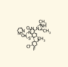 Cc1cc2c(N3C[C@@H](C)N[C@@H](C)C3)nc(=O)n3c2c(c1-c1cc(Cl)c(F)cc1F)SC[C@@H](Oc1ncccn1)C3